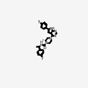 CC(NC(=O)N1CCN(c2ncnc3[nH]c(-c4ccc(F)cc4)cc23)C[C@H]1C)c1ccc(F)cc1